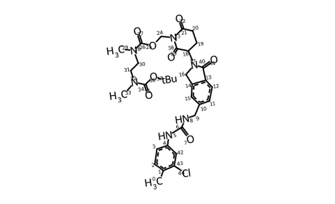 Cc1ccc(NC(=O)NCc2ccc3c(c2)CN(C2CCC(=O)N(COC(=O)N(C)CCN(C)C(=O)OC(C)(C)C)C2=O)C3=O)cc1Cl